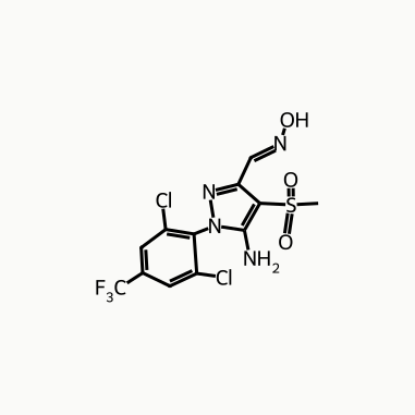 CS(=O)(=O)c1c(/C=N/O)nn(-c2c(Cl)cc(C(F)(F)F)cc2Cl)c1N